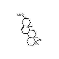 CO[C@H]1CC[C@@]2(C)C(=CCC3C4CCC[C@](C)(C(C)=O)C4(C)CCC32)C1